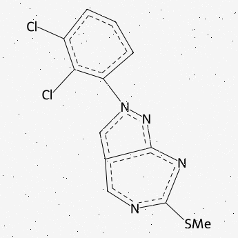 CSc1ncc2cn(-c3cccc(Cl)c3Cl)nc2n1